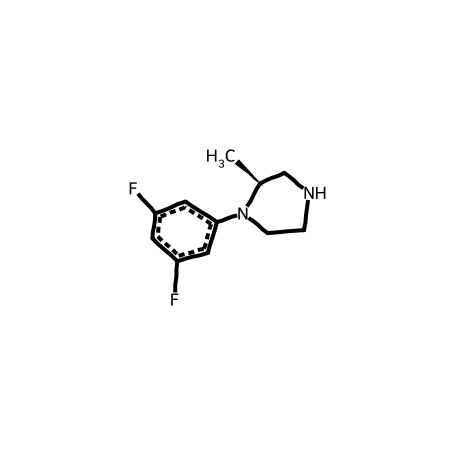 C[C@H]1CNCCN1c1cc(F)cc(F)c1